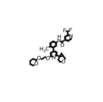 Cc1ccc(NC(=O)c2ccnc(C(F)F)c2)cc1-c1cc(OCCOC2CCCCO2)nc(C23CCOCC2C3)c1